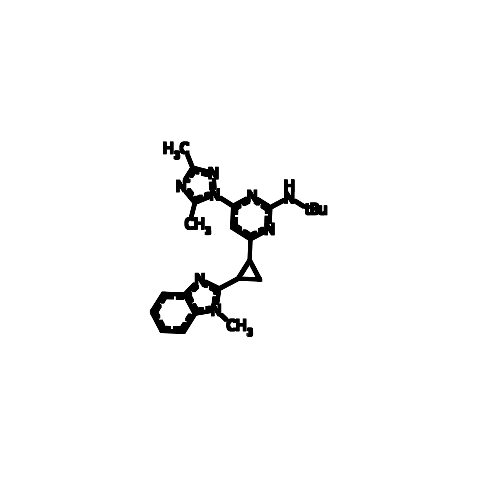 Cc1nc(C)n(-c2cc(C3CC3c3nc4ccccc4n3C)nc(NC(C)(C)C)n2)n1